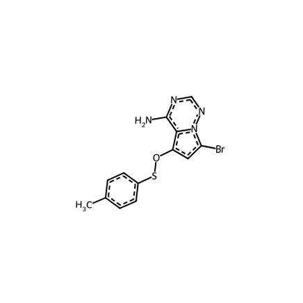 Cc1ccc(SOc2cc(Br)n3ncnc(N)c23)cc1